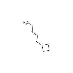 CCCCSC1CCC1